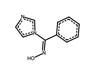 ON=C(c1ccccc1)n1ccnc1